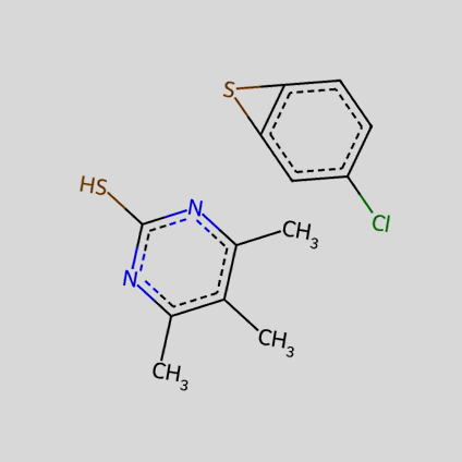 Cc1nc(S)nc(C)c1C.Clc1ccc2c(c1)S2